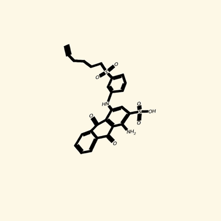 C#CCCCCS(=O)(=O)c1cccc(Nc2cc(S(=O)(=O)O)c(N)c3c2C(=O)c2ccccc2C3=O)c1